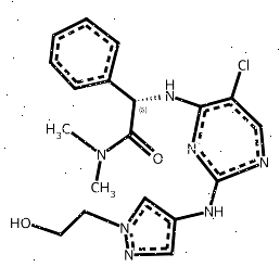 CN(C)C(=O)[C@@H](Nc1nc(Nc2cnn(CCO)c2)ncc1Cl)c1ccccc1